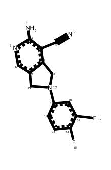 N#Cc1c(N)ncc2c1CN(c1ccc(F)c(F)c1)C2